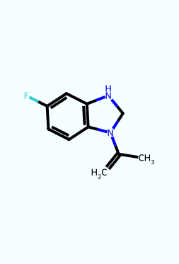 C=C(C)N1CNc2cc(F)ccc21